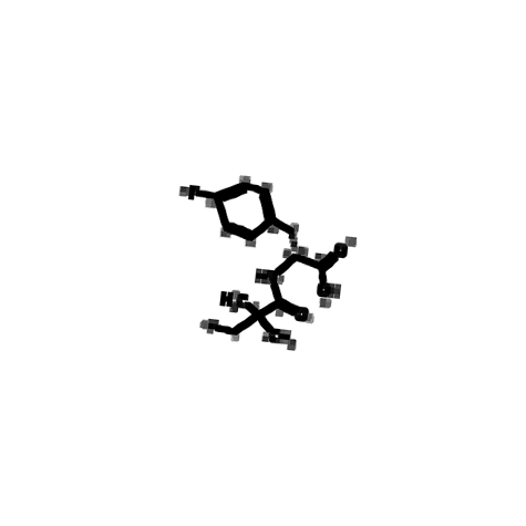 CC(C)(CF)C(=O)N[C@H](Cc1ccc(F)cc1)C(=O)O